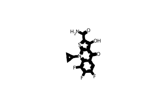 NC(=O)c1sc2c(c1O)c(=O)c1cc(F)c(F)c(F)c1n2C1CC1